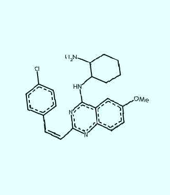 COc1ccc2nc(/C=C\c3ccc(Cl)cc3)nc(NC3CCCCC3N)c2c1